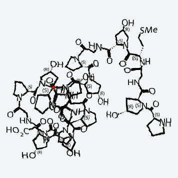 CSCC[C@H](NC(=O)CNC(=O)[C@@H]1C[C@@H](O)CN1C(=O)[C@@H]1CCCN1)C(=O)N1C[C@H](O)C[C@H]1C(=O)NCC(=O)N1CCC[C@H]1C(=O)N1C[C@H](O)C[C@H]1C(=O)NCC(=O)N1CCC[C@H]1C(=O)N1C[C@H](O)C[C@H]1C(=O)NCC(=O)N1CCC[C@H]1C(=O)N1C[C@H](O)C[C@H]1C(=O)NCC(=O)N1CCC[C@H]1C(=O)N1C[C@H](O)C[C@H]1C(=O)NCC(=O)N1CCC[C@H]1C(=O)N1C[C@H](O)C[C@H]1C(=O)NCC(=O)O